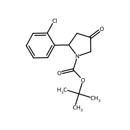 CC(C)(C)OC(=O)N1CC(=O)CC1c1ccccc1Cl